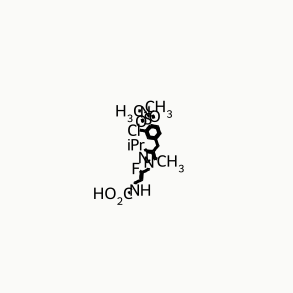 Cc1c(Cc2ccc(S(=O)(=O)N(C)C)c(Cl)c2)c(C(C)C)nn1CC(F)=CCNC(=O)O